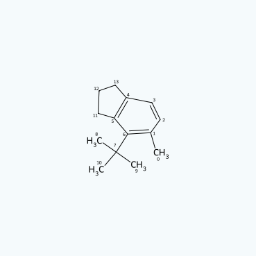 Cc1ccc2c(c1C(C)(C)C)CCC2